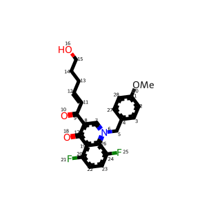 COc1ccc(Cn2cc(C(=O)/C=C/CCCO)c(=O)c3c(F)ccc(F)c32)cc1